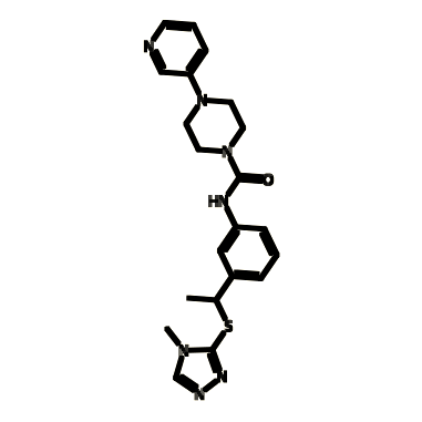 CC(Sc1nncn1C)c1cccc(NC(=O)N2CCN(c3cccnc3)CC2)c1